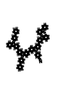 N#Cc1ccc(-n2c3ccc(-c4ccc5c(c4)c4ccccc4n5-c4cccc5c4sc4ccccc45)cc3c3ccc(-c4ccc5c(c4)c4cc(-c6ccc7c(c6)c6ccccc6n7-c6ccc(-c7ccccc7)cc6)ccc4n5-c4ccc(-c5ccccc5)cc4)cc32)cc1